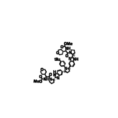 COC(=O)NC(C(=O)N1CCC[C@H]1c1nc2cc([C@H]3CC[C@H](c4ccc5[nH]c([C@@H]6CCCN6C(=O)[C@@H](NC(=O)OC)C6CCOCC6)nc5c4)N3c3ccc(C(C)(C)C)cc3)ccc2[nH]1)C1CCOCC1